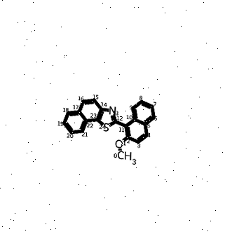 COc1ccc2ccccc2c1-c1nc2ccc3ccccc3c2s1